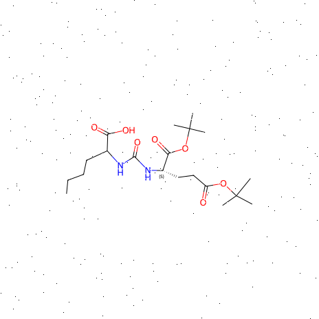 CCCCC(NC(=O)N[C@@H](CCC(=O)OC(C)(C)C)C(=O)OC(C)(C)C)C(=O)O